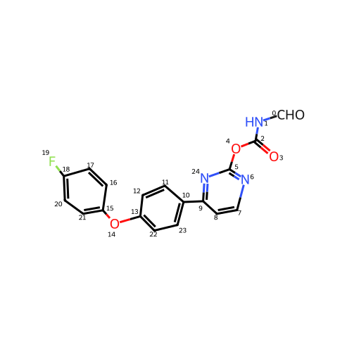 O=CNC(=O)Oc1nccc(-c2ccc(Oc3ccc(F)cc3)cc2)n1